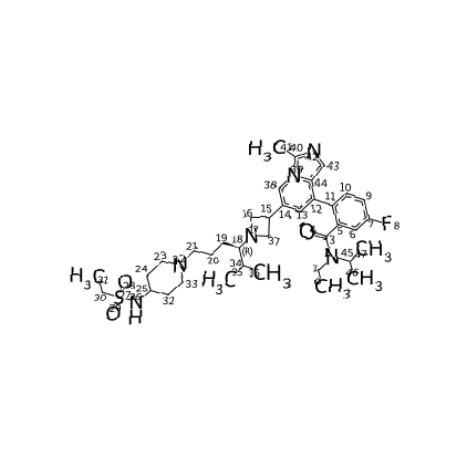 CCN(C(=O)c1cc(F)ccc1-c1cc(C2CN([C@H](CCCN3CCC(NS(=O)(=O)CC)CC3)C(C)C)C2)cn2c(C)ncc12)C(C)C